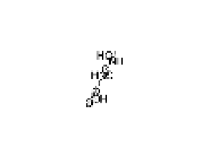 C=CC(O)NCCOC(=O)NCCCCOCC(O)COC